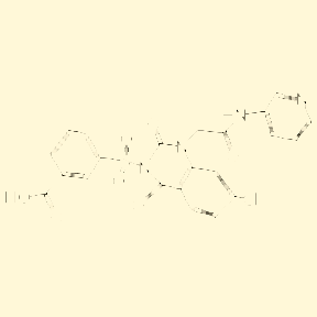 O=C(Cn1c(=O)n(S(=O)(=O)c2cccc(C(=O)O)c2)c(=O)c2ccc(Cl)cc21)Nc1cccnc1